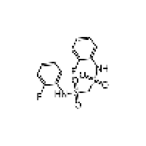 O=S(=O)(CS(=O)(=O)Nc1ccccc1F)Nc1ccccc1F